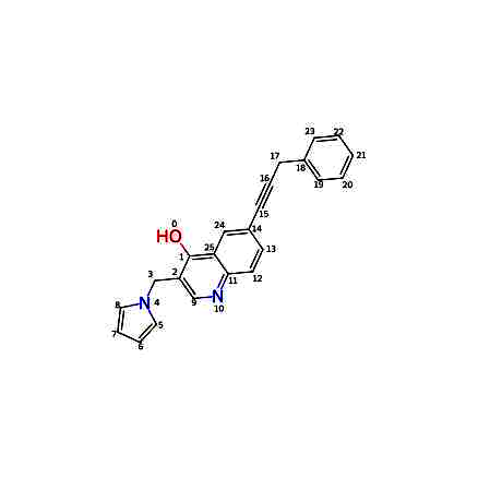 Oc1c(Cn2cccc2)cnc2ccc(C#CCc3ccccc3)cc12